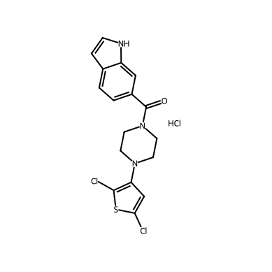 Cl.O=C(c1ccc2cc[nH]c2c1)N1CCN(c2cc(Cl)sc2Cl)CC1